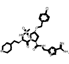 CS(=O)(=O)N[C@H](CCC1CCNCC1)C(=O)N1C[C@H](OCc2ccc(Cl)cc2)C[C@H]1C(=O)NCc1cc(C(=N)N)cs1